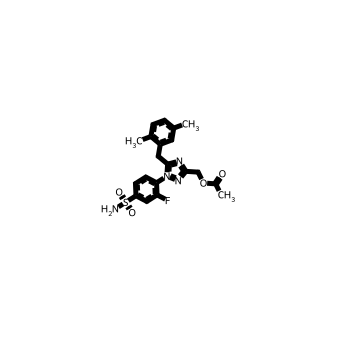 CC(=O)OCc1nc(Cc2cc(C)ccc2C)n(-c2ccc(S(N)(=O)=O)cc2F)n1